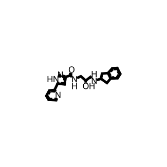 O=C(NCC(O)CNC1Cc2ccccc2C1)c1cc(-c2ccccn2)[nH]n1